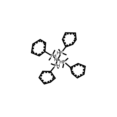 C[PH](C)(c1ccccc1)[Ni]([PH](C)(C)c1ccccc1)([PH](C)(C)c1ccccc1)[PH](C)(C)c1ccccc1